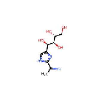 CC(=N)c1nc([C@@H](O)[C@H](O)[C@H](O)CO)c[nH]1